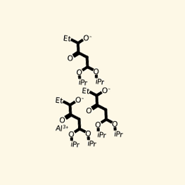 CCC([O-])C(=O)CC(OC(C)C)OC(C)C.CCC([O-])C(=O)CC(OC(C)C)OC(C)C.CCC([O-])C(=O)CC(OC(C)C)OC(C)C.[Al+3]